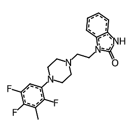 Cc1c(F)c(F)cc(N2CCN(CCn3c(=O)[nH]c4ccccc43)CC2)c1F